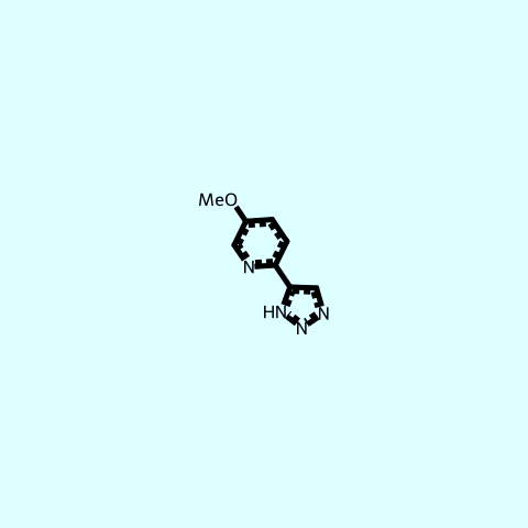 COc1ccc(-c2cnn[nH]2)nc1